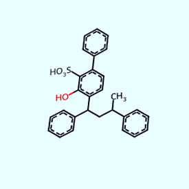 CC(CC(c1ccccc1)c1ccc(-c2ccccc2)c(S(=O)(=O)O)c1O)c1ccccc1